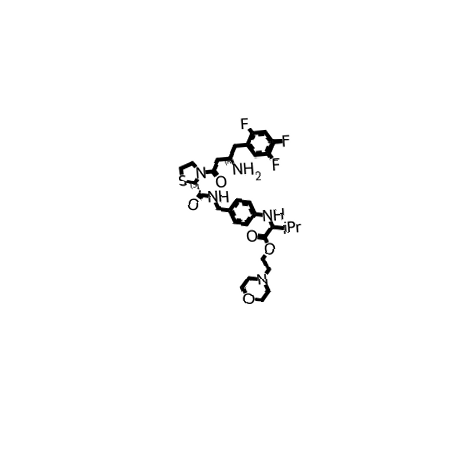 CC(C)C(Nc1ccc(CNC(=O)[C@@H]2SCCN2C(=O)C[C@H](N)Cc2cc(F)c(F)cc2F)cc1)C(=O)OCCN1CCOCC1